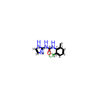 Cc1cccc(Cl)c1NC(=O)Nc1ncc[nH]1